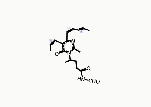 C/C=C\c1c(/C=C\C=C\C)nc(C)n(C(C)CCC(=O)NC=O)c1=O